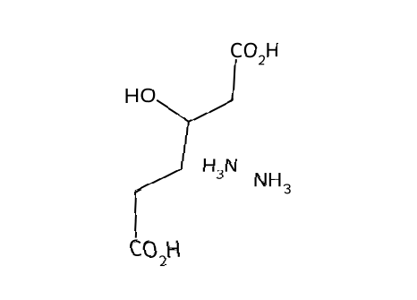 N.N.O=C(O)CCC(O)CC(=O)O